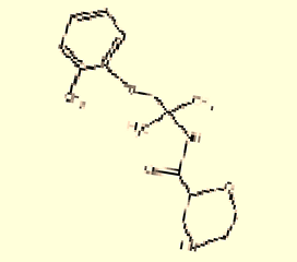 Cc1ccccc1OCC(C)(C)NC(=O)C1CNCCO1